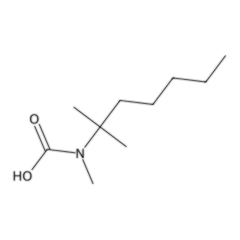 CCCCCC(C)(C)N(C)C(=O)O